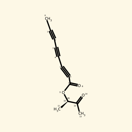 CC#CC#CC#CC(=O)O[C@H](C)C(C)=O